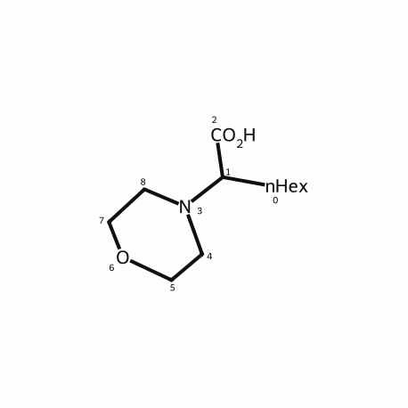 CCCCCCC(C(=O)O)N1CCOCC1